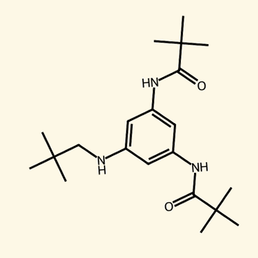 CC(C)(C)CNc1cc(NC(=O)C(C)(C)C)cc(NC(=O)C(C)(C)C)c1